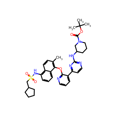 Cc1ccc2c(NS(=O)(=O)CC3CCCC3)cccc2c1Oc1ncccc1-c1ccnc(NC2CCCN(C(=O)OC(C)(C)C)C2)n1